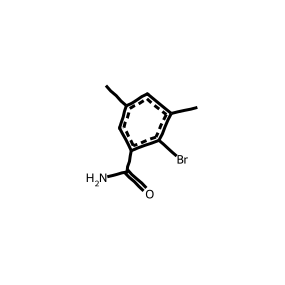 Cc1cc(C)c(Br)c(C(N)=O)c1